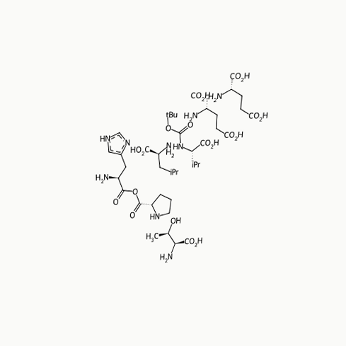 CC(C)C[C@H](N)C(=O)O.CC(C)[C@H](NC(=O)OC(C)(C)C)C(=O)O.C[C@@H](O)[C@H](N)C(=O)O.N[C@@H](CCC(=O)O)C(=O)O.N[C@@H](CCC(=O)O)C(=O)O.N[C@@H](Cc1c[nH]cn1)C(=O)OC(=O)[C@@H]1CCCN1